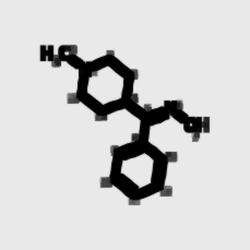 CN1CCC(/C(=N/O)c2ccccc2)CC1